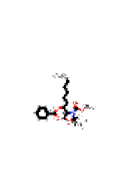 CCCCCCCCCCCCCCCC(OC(=O)c1ccccc1)C1COC(C)(C)N1C(=O)OC(C)(C)C